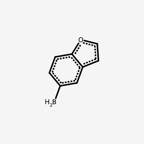 Bc1ccc2occc2c1